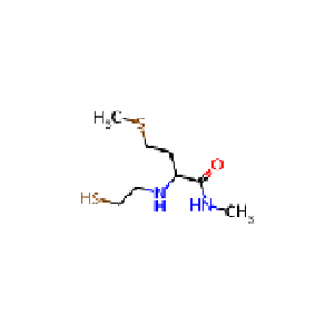 CNC(=O)C(CCSC)NCCS